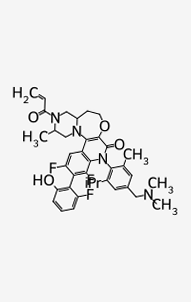 C=CC(=O)N1CC2CCOc3c(c4cc(F)c(-c5c(O)cccc5F)c(F)c4n(-c4c(C)cc(CN(C)C)cc4C(C)C)c3=O)N2CC1C